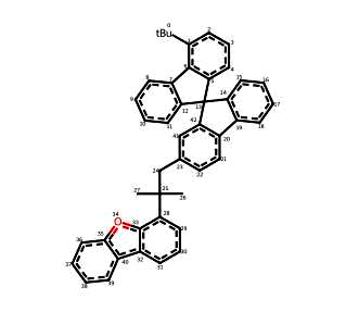 CC(C)(C)c1cccc2c1-c1ccccc1C21c2ccccc2-c2ccc(CC(C)(C)c3cccc4c3oc3ccccc34)cc21